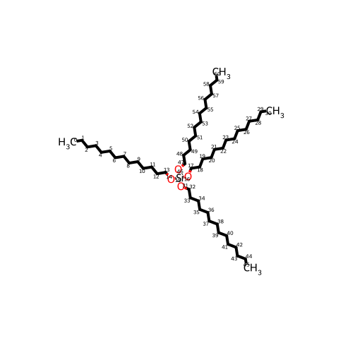 CCCCCCCCCCCCCCO[Si](OCCCCCCCCCCCCCC)(OCCCCCCCCCCCCCC)OCCCCCCCCCCCCCC